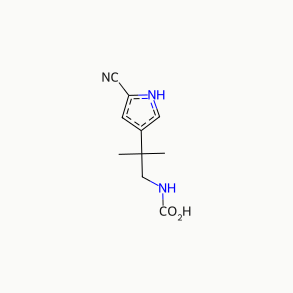 CC(C)(CNC(=O)O)c1c[nH]c(C#N)c1